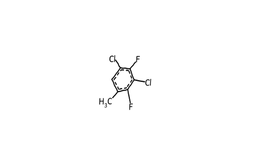 Cc1cc(Cl)c(F)c(Cl)c1F